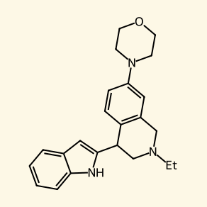 CCN1Cc2cc(N3CCOCC3)ccc2C(c2cc3ccccc3[nH]2)C1